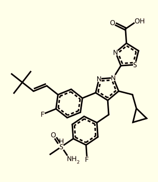 CC(C)(C)/C=C/c1cc(-c2nn(-c3nc(C(=O)O)cs3)c(CC3CC3)c2Cc2ccc([SH](C)(N)=O)c(F)c2)ccc1F